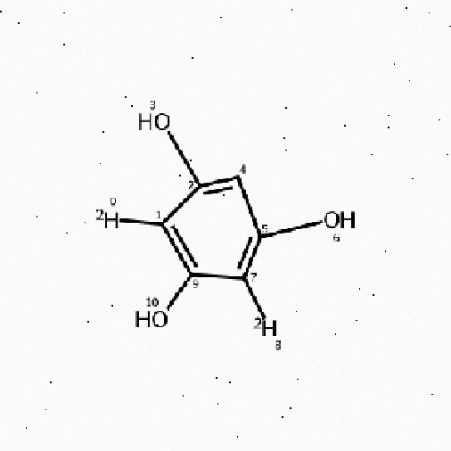 [2H]c1c(O)cc(O)c([2H])c1O